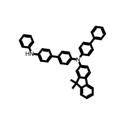 CC1(C)c2ccccc2-c2ccc(N(c3ccc(-c4ccccc4)cc3)c3ccc(-c4ccc(Nc5ccccc5)cc4)cc3)cc21